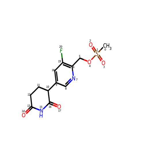 CS(=O)(=O)OCc1ncc(C2CCC(=O)NC2=O)cc1F